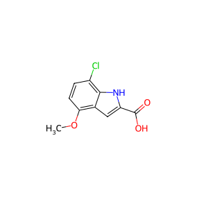 COc1ccc(Cl)c2[nH]c(C(=O)O)cc12